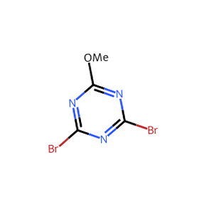 COc1nc(Br)nc(Br)n1